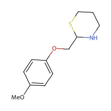 COc1ccc(OCC2NCCCS2)cc1